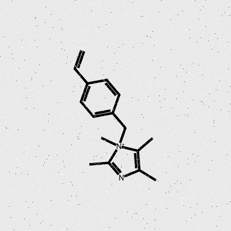 C=Cc1ccc(C[N+]2(C)C(C)=NC(C)=C2C)cc1